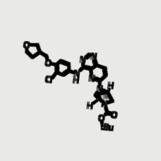 CC(C)(C)OC(=O)N1C[C@@H]2C[C@H]1CN2c1ccc2ncnc(Nc3ccc(OCC4CCOC4)c(Cl)c3)c2n1